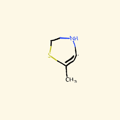 CC1=[C]NCS1